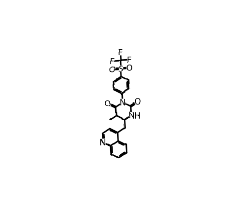 CC1C(=O)N(c2ccc(S(=O)(=O)C(F)(F)F)cc2)C(=O)NC1Cc1ccnc2ccccc12